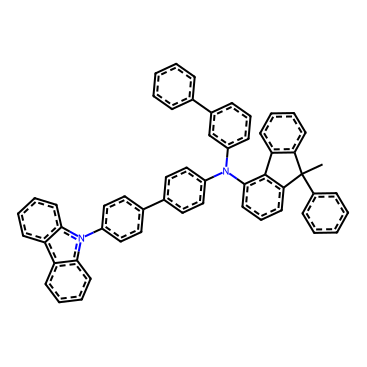 CC1(c2ccccc2)c2ccccc2-c2c(N(c3ccc(-c4ccc(-n5c6ccccc6c6ccccc65)cc4)cc3)c3cccc(-c4ccccc4)c3)cccc21